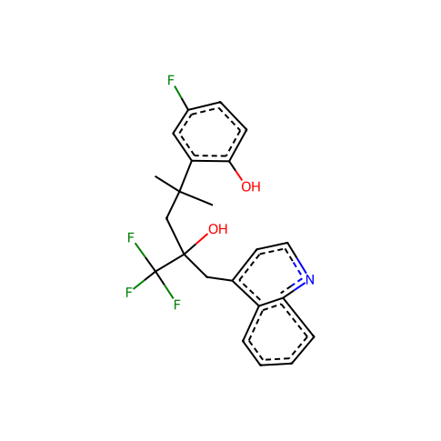 CC(C)(CC(O)(Cc1ccnc2ccccc12)C(F)(F)F)c1cc(F)ccc1O